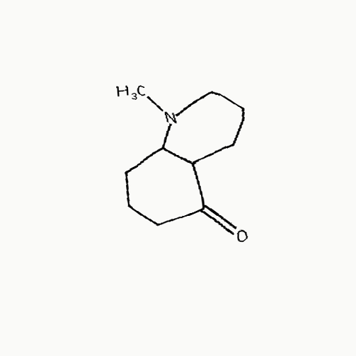 CN1CCCC2C(=O)CCCC21